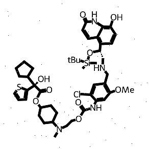 COc1cc(NC(=O)OCCN(C)C2CCC(OC(=O)[C@](O)(c3cccs3)C3CCCC3)CC2)c(Cl)cc1CNC[C@H](O[Si](C)(C)C(C)(C)C)c1ccc(O)c2[nH]c(=O)ccc12